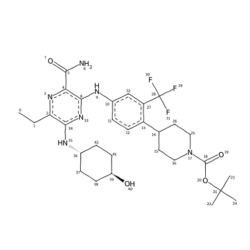 CCc1nc(C(N)=O)c(Nc2ccc(C3CCN(C(=O)OC(C)(C)C)CC3)c(C(F)(F)F)c2)nc1N[C@H]1CC[C@H](O)CC1